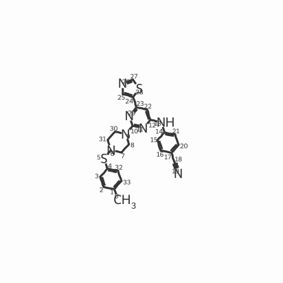 Cc1ccc(SN2CCN(c3nc(Nc4ccc(C#N)cc4)cc(-c4cncs4)n3)CC2)cc1